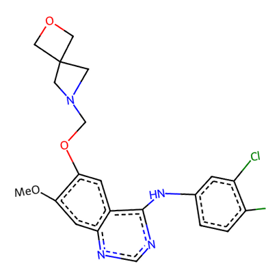 COc1cc2ncnc(Nc3ccc(F)c(Cl)c3)c2cc1OCN1CC2(COC2)C1